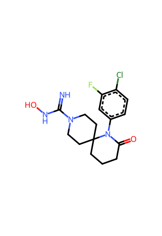 N=C(NO)N1CCC2(CCCC(=O)N2c2ccc(Cl)c(F)c2)CC1